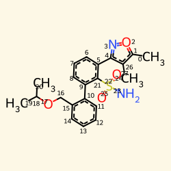 Cc1onc(-c2cccc(-c3ccccc3COC(C)C)c2S(N)(=O)=O)c1C